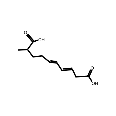 CC(CCC=CC=CCC(=O)O)C(=O)O